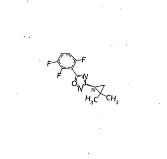 CC1(C)C[C@@H]1c1noc(-c2c(F)ccc(F)c2F)n1